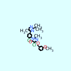 COc1cccc(COc2nc(C)n(-c3cc(-c4nc(C(C)C)ncc4C)ccc3Cl)c(=O)c2Cl)c1